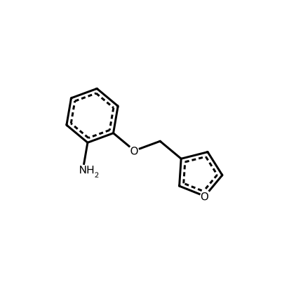 Nc1ccccc1OCc1ccoc1